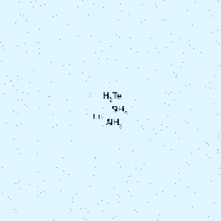 [AlH3].[Cu].[SiH4].[TeH2]